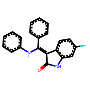 O=C1Nc2cc(F)ccc2/C1=C(/Nc1ccccc1)c1ccccc1